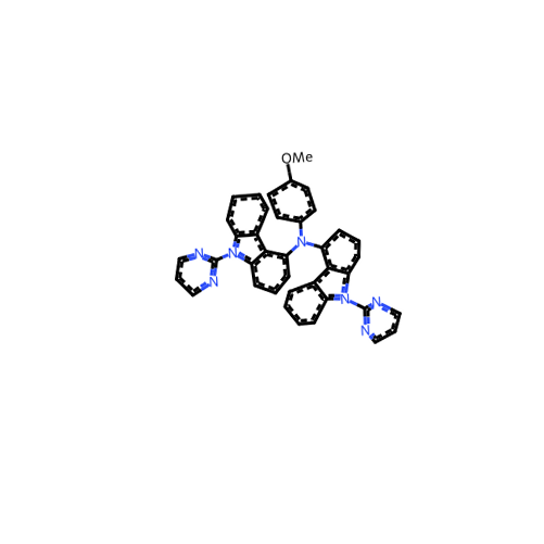 COc1ccc(N(c2cccc3c2c2ccccc2n3-c2ncccn2)c2cccc3c2c2ccccc2n3-c2ncccn2)cc1